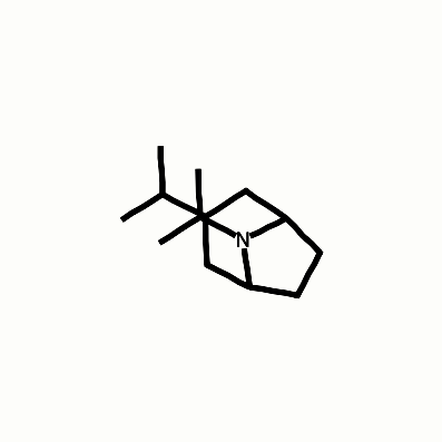 CC(C)C1CC2CCC(C1)N2C(C)C